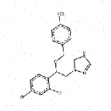 Clc1ccc(C(CN2CNC=N2)OCc2ccc(C(Cl)(Cl)Cl)cc2)c(Cl)c1